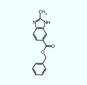 Cc1nc2ccc(C(=O)OCc3ccccc3)cc2[nH]1